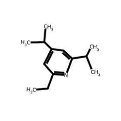 CCc1cc(C(C)C)cc(C(C)C)n1